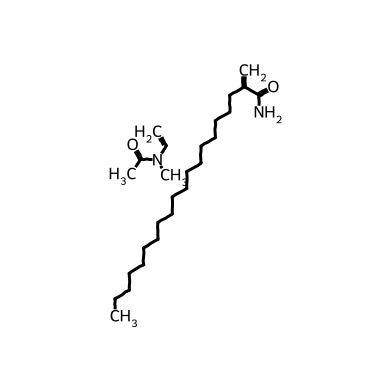 C=C(CCCCCCCCCCCCCCCCCC)C(N)=O.C=CN(C)C(C)=O